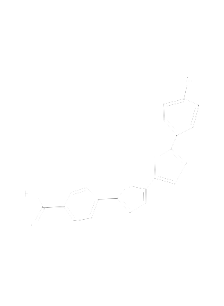 CC(=O)c1ccc(-c2ccc(-c3ccc(-c4ccc(C(=O)C(F)(F)F)cc4)s3)s2)cc1